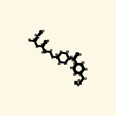 CC(=C=O)CC(=O)OCCN1CCN(C(=O)c2ccc(CN)cc2)CC1